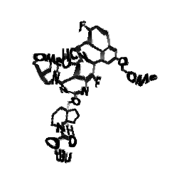 C#Cc1c(F)ccc2cc(OCOC)cc(-c3nc(OC)c4c(N5CC6COC(C6)C5)nc(OC[C@]56CCC[C@H]5N(C(=O)OC(C)(C)C)CCC6)nc4c3F)c12